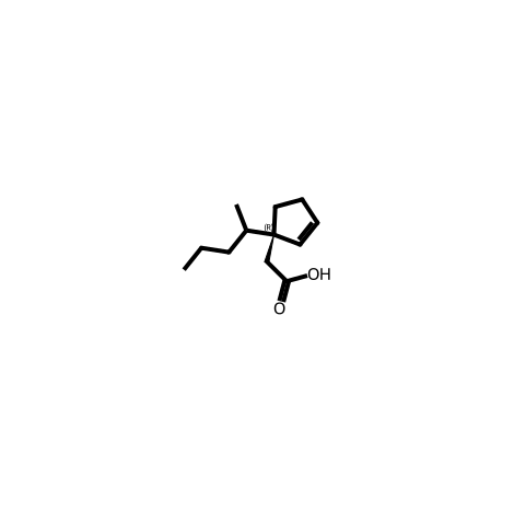 CCCC(C)[C@@]1(CC(=O)O)C=CCC1